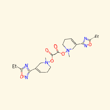 CCc1nc(C2=CCC[N+](C)(OC(=O)C(=O)O[N+]3(C)CCC=C(c4noc(CC)n4)C3)C2)no1